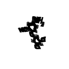 N#Cc1cc(N)ccc1Oc1cc(Cl)cc(Cl)c1